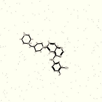 Fc1ccc(Nc2ncnc3cnc(N4CCC(CN5CCOCC5)CC4)nc23)cc1Cl